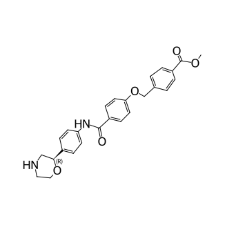 COC(=O)c1ccc(COc2ccc(C(=O)Nc3ccc([C@@H]4CNCCO4)cc3)cc2)cc1